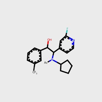 CC(=O)N(C1CCCC1)C(c1ccnc(F)c1)C(O)c1cccc(C(F)(F)F)c1